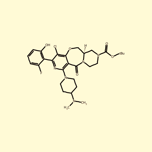 CN(C)C1CCN(c2nc(-c3c(O)cccc3F)c(Cl)c3c2C(=O)N2CCN(C(=O)OC(C)(C)C)C[C@@H]2CO3)CC1